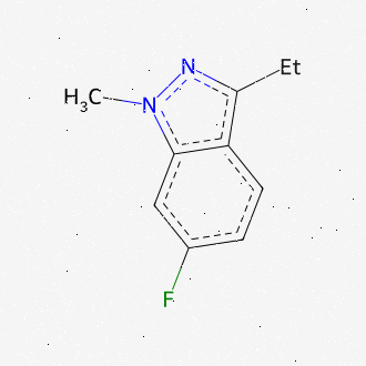 CCc1nn(C)c2cc(F)ccc12